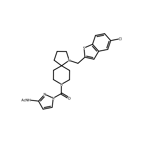 CC(=O)Nc1ccn(C(=O)N2CCC3(CCCN3Cc3cc4cc(Cl)ccc4s3)CC2)n1